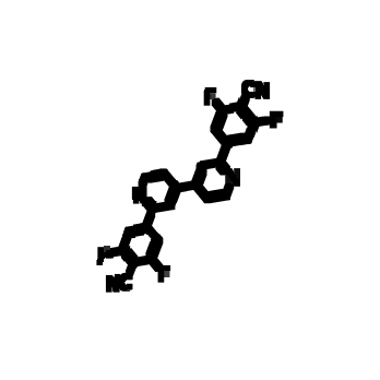 N#Cc1c(F)cc(-c2cc(-c3ccnc(-c4cc(F)c(C#N)c(F)c4)c3)ccn2)cc1F